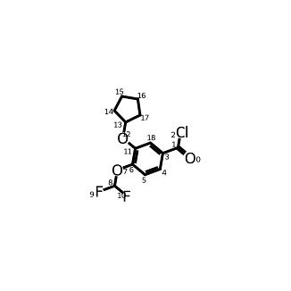 O=C(Cl)c1ccc(OC(F)F)c(OC2CCCC2)c1